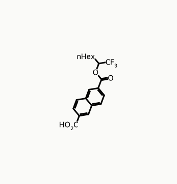 CCCCCCC(OC(=O)c1ccc2cc(C(=O)O)ccc2c1)C(F)(F)F